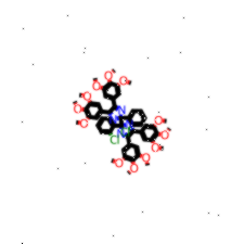 COc1cc(C2=NC(c3ccccc3Cl)(C3(c4ccccc4Cl)N=C(c4cc(OC)c(OC)c(OC)c4)C(c4cc(OC)c(OC)c(OC)c4)=N3)N=C2c2cc(OC)c(OC)c(OC)c2)cc(OC)c1OC